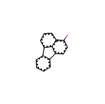 Ic1ccc2c3c(cccc13)-c1ccccc1-2